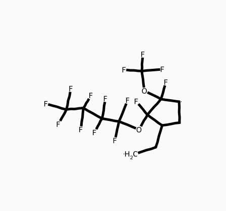 [CH2]CC1C[CH]C(F)(OC(F)(F)F)C1(F)OC(F)(F)C(F)(F)C(F)(F)C(F)(F)F